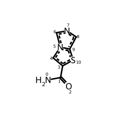 NC(=O)c1cn2cncc2s1